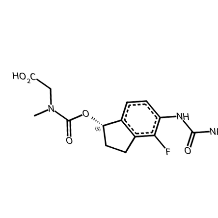 CNC(=O)Nc1ccc2c(c1F)CC[C@@H]2OC(=O)N(C)CC(=O)O